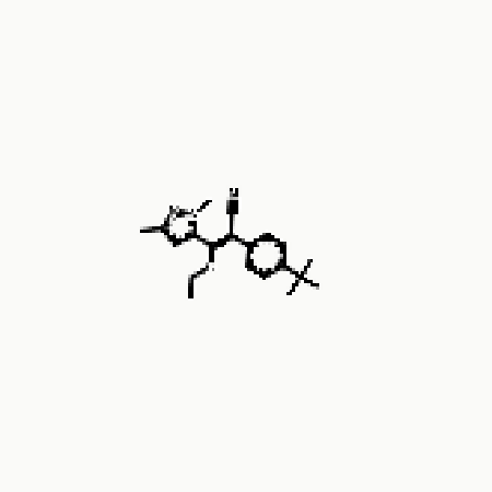 CCOC(=C(C#N)c1ccc(C(C)(C)C)cc1)c1cc(C)nn1C